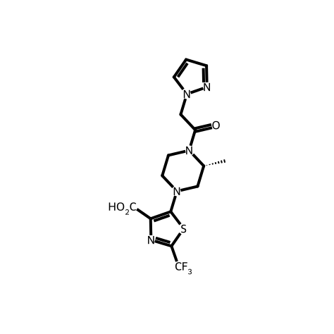 C[C@@H]1CN(c2sc(C(F)(F)F)nc2C(=O)O)CCN1C(=O)Cn1cccn1